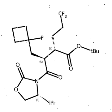 CC(C)[C@@H]1COC(=O)N1C(=O)[C@@H](CC1(F)CCC1)[C@H](CCC(F)(F)F)C(=O)OC(C)(C)C